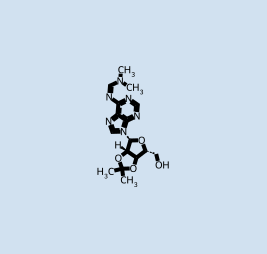 CN(C)/C=N\c1ncnc2c1ncn2[C@@H]1O[C@H](CO)C2OC(C)(C)O[C@@H]21